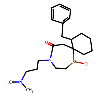 CN(C)CCCN1CC[S+]([O-])C2(CCCCC2Cc2ccccc2)CC1=O